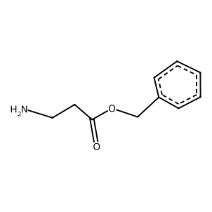 NCCC(=O)OCc1ccccc1